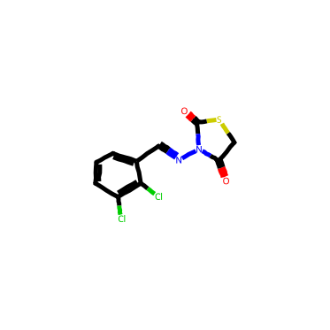 O=C1CSC(=O)N1N=Cc1cccc(Cl)c1Cl